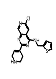 Clc1cc2c(NCc3cccs3)nc(C3=CCNCC3)nc2cn1